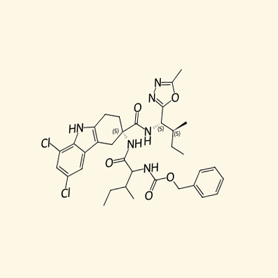 CCC(C)C(NC(=O)OCc1ccccc1)C(=O)N[C@@]1(C(=O)N[C@H](c2nnc(C)o2)[C@@H](C)CC)CCc2[nH]c3c(Cl)cc(Cl)cc3c2C1